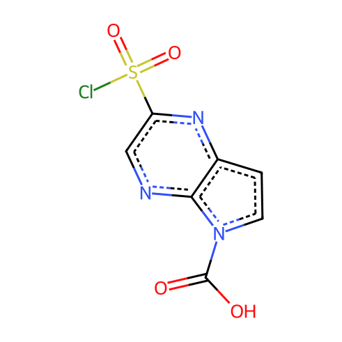 O=C(O)n1ccc2nc(S(=O)(=O)Cl)cnc21